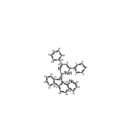 C1=C(c2ccccc2)NC(n2c3ccccc3c3ccc4cccnc4c32)N=C1c1ccccc1